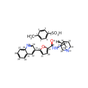 Cc1ccc(S(=O)(=O)O)cc1.O=C(N[C@H]1CN2CCC1CC2)c1ccc(-c2cnc3ccccc3c2)o1